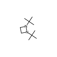 CC(C)(C)N1CCN1C(C)(C)C